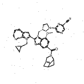 COc1cc(C(=O)N2CC3CC4CC2[C@H]43)cc2nc(-c3cc4cccnc4n3CC3CC3)n(C[C@H]3CCN(c4cncc(C#N)n4)C3)c12